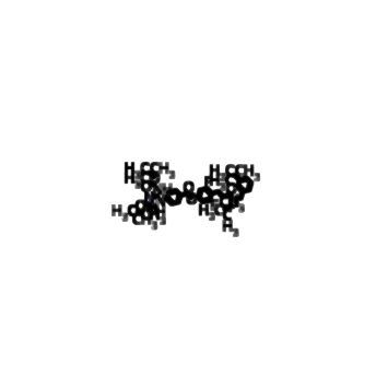 CC(C)(C)CN(Cc1cccc(C(C)(C)C)c1)C(=O)CCc1c(F)cc(OC(=O)c2ccc(N/C(=N\C(=O)OC(C)(C)C)NC(=O)OC(C)(C)C)cc2)cc1F